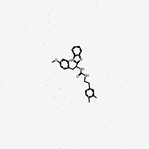 COc1ccc(CC(NC(=O)NCCc2ccc(C)c(C)c2)c2nc3ccccc3[nH]2)cc1